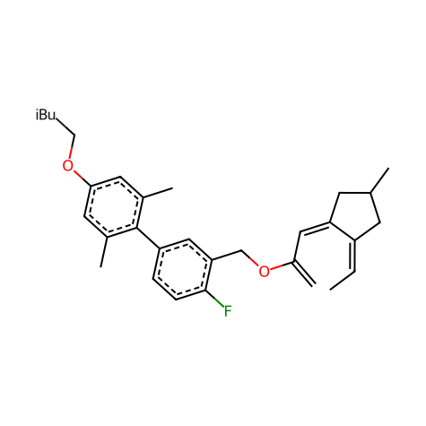 C=C(/C=C1/CC(C)C/C1=C/C)OCc1cc(-c2c(C)cc(OCC(C)CC)cc2C)ccc1F